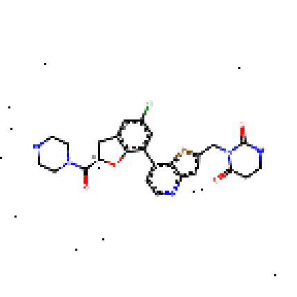 O=C([C@H]1Cc2cc(Cl)cc(-c3ccnc4cc(CN5C(=O)CCNC5=O)sc34)c2O1)N1CCNCC1